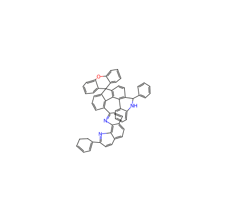 C1=CCCC(c2ccc3ccc4ccc(-c5cccc6c5-c5c(ccc7c5-c5ccccc5NC7c5ccccc5)C65c6ccccc6Oc6ccccc65)nc4c3n2)=C1